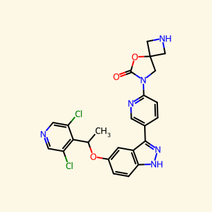 CC(Oc1ccc2[nH]nc(-c3ccc(N4CC5(CNC5)OC4=O)nc3)c2c1)c1c(Cl)cncc1Cl